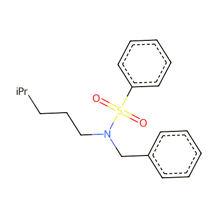 CC(C)CCCN(Cc1ccccc1)S(=O)(=O)c1ccccc1